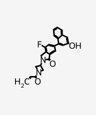 C=CC(=O)N1CC(N2Cc3c(F)cc(-c4cc(O)cc5ccccc45)cc3C2=O)C1